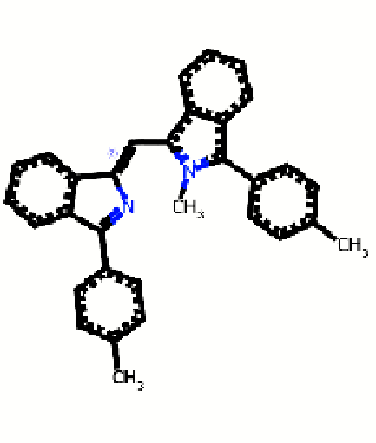 Cc1ccc(C2=N/C(=C\c3c4ccccc4c(-c4ccc(C)cc4)n3C)c3ccccc32)cc1